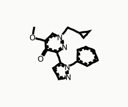 COc1cn(CC2CC2)nc(-c2ccnn2-c2ccccc2)c1=O